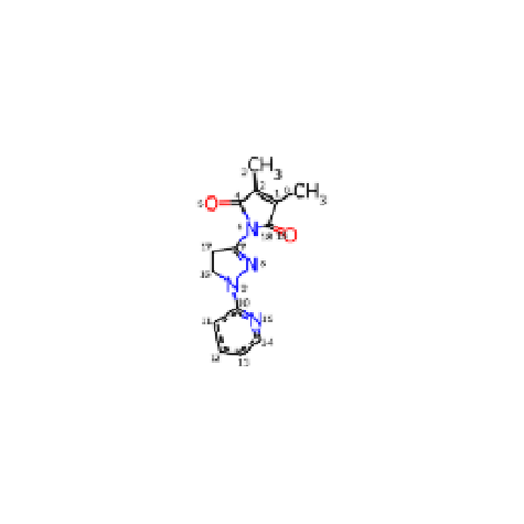 CC1=C(C)C(=O)N(C2=NN(c3ccccn3)CC2)C1=O